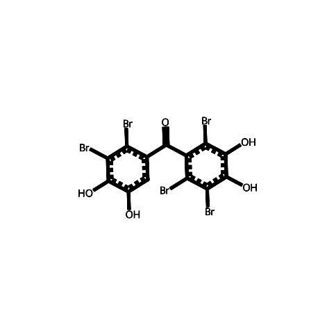 O=C(c1cc(O)c(O)c(Br)c1Br)c1c(Br)c(O)c(O)c(Br)c1Br